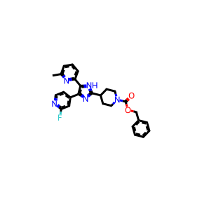 Cc1cccc(-c2[nH]c(C3CCN(C(=O)OCc4ccccc4)CC3)nc2-c2ccnc(F)c2)n1